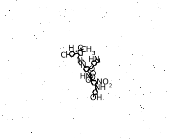 CC1(C)CCC(CN2CCN(c3ccc(C(=O)NS(=O)(=O)c4ccc(Nc5ccc(O)cc5)c([N+](=O)[O-])c4)c(Oc4ccc5[nH]ccc5c4)c3)CC2)=C(c2ccc(Cl)cc2)C1